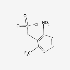 O=[N+]([O-])c1cccc(C(F)(F)F)c1CS(=O)(=O)Cl